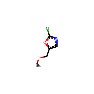 CC(C)(C)OCc1cnc(Cl)o1